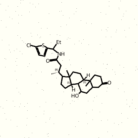 CCC(NC(=O)C[C@@H](C)C1CC[C@H]2C3C(O)CC4CC(=O)CCC4(C)[C@H]3CCC12C)c1ccc(Cl)s1